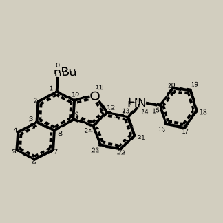 CCCCc1cc2ccccc2c2c1oc1c(Nc3ccccc3)cccc12